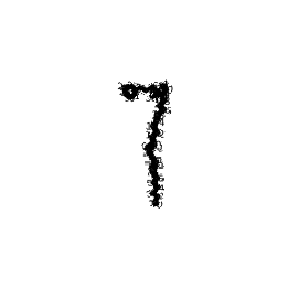 CCCCCCCCCCCCCCCCCCCn1cc[n+](CCCc2ccccc2)c1C